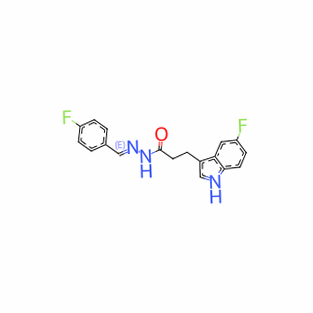 O=C(CCc1c[nH]c2ccc(F)cc12)N/N=C/c1ccc(F)cc1